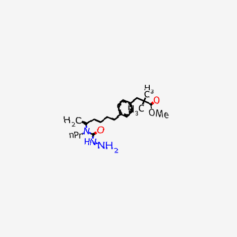 C=C(CCCCc1ccc(CC(C)(C)C(=O)OC)cc1)N(CCC)C(=O)NN